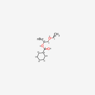 C=COCC(CCCC)OC(=O)C1CCCCC1